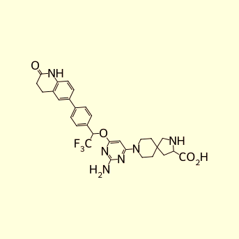 Nc1nc(OC(c2ccc(-c3ccc4c(c3)CCC(=O)N4)cc2)C(F)(F)F)cc(N2CCC3(CC2)CNC(C(=O)O)C3)n1